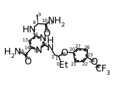 CCC(CNc1nc(N[C@@H](C)C(N)=O)cc(C(N)=O)n1)Oc1ccc(OC(F)(F)F)cc1